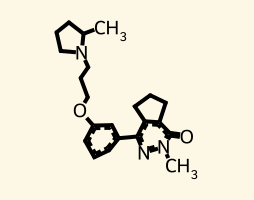 CC1CCCN1CCCOc1cccc(-c2nn(C)c(=O)c3c2CCC3)c1